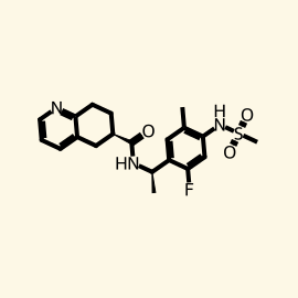 Cc1cc([C@@H](C)NC(=O)[C@@H]2CCc3ncccc3C2)c(F)cc1NS(C)(=O)=O